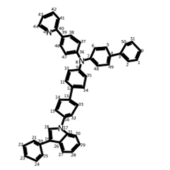 c1ccc(-c2ccc(N(c3ccc(-c4ccc(-n5cc(-c6ccccc6)c6ccccc65)cc4)cc3)c3ccc(-c4ccccn4)cc3)cc2)cc1